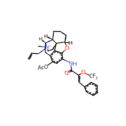 C=CC[N+]1(C)CC[C@]23c4c5c(OC(C)=O)cc(NC(=O)C(=Cc6ccccc6)OC(F)(F)F)c4O[C@H]2CCC[C@H]3[C@H]1C5